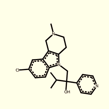 CC(C)C(O)(Cn1c2c(c3cc(Cl)ccc31)CN(C)CC2)c1ccncc1